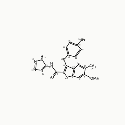 COc1cc2sc(C(=O)Nc3nnn[nH]3)c(Sc3ccc(C(C)C)cc3)c2cc1C